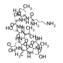 CC[C@H](C)[C@H](NC(=O)[C@H](CO)NC(=O)[C@H](CO)NC(=O)[C@H](CC(C)C)NC(=O)[C@@H](N)CCCCN)C(=O)N[C@@H](CCC(=O)O)C(=O)N[C@@H](C)C(=O)N[C@@H](CC(=O)O)C(=O)N[C@@H](C)C(=O)O